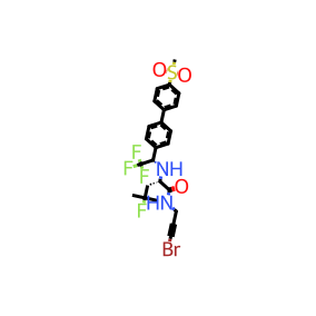 CC(C)(F)C[C@H](N[C@@H](c1ccc(-c2ccc(S(C)(=O)=O)cc2)cc1)C(F)(F)F)C(=O)NCC#CBr